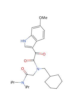 COc1ccc2c(C(=O)C(=O)N(CC(=O)N(C(C)C)C(C)C)CC3CCCCC3)c[nH]c2c1